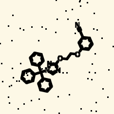 N#Cc1cccc(OCCOc2ncn(C(c3ccccc3)(c3ccccc3)c3ccccc3)n2)c1